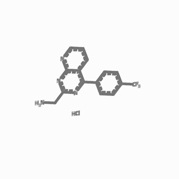 Cl.NCc1nc(-c2ccc(C(F)(F)F)cc2)c2cccnc2n1